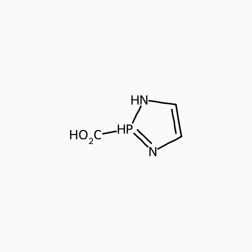 O=C(O)[PH]1=NC=CN1